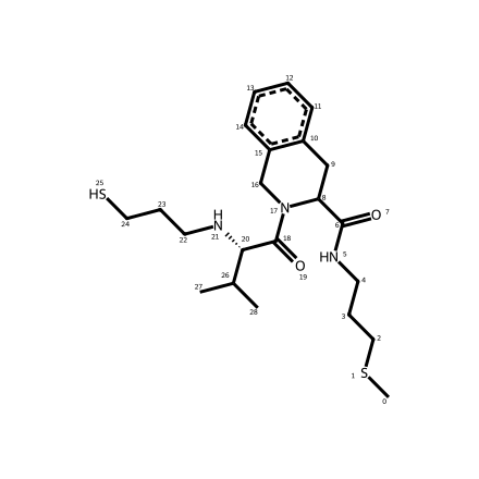 CSCCCNC(=O)C1Cc2ccccc2CN1C(=O)[C@@H](NCCCS)C(C)C